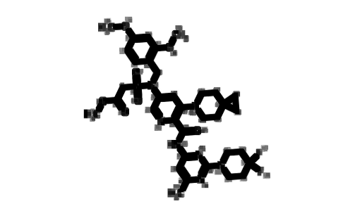 COC(=O)CS(=O)(=O)N(Cc1ccc(OC)cc1OC)c1cnc(C(=O)Nc2cc(C)nc(N3CCC(F)(F)CC3)n2)c(N2CCC3(CC2)CC3)c1